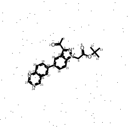 CC(=O)c1nn(CC(=O)OC(C)(C)C)c2ccc(-c3ccc4ncncc4c3)cc12